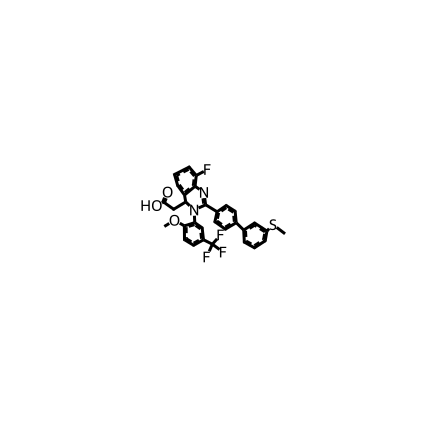 COc1ccc(C(F)(F)F)cc1N1C(c2ccc(-c3cccc(SC)c3)cc2)=Nc2c(F)cccc2C1CC(=O)O